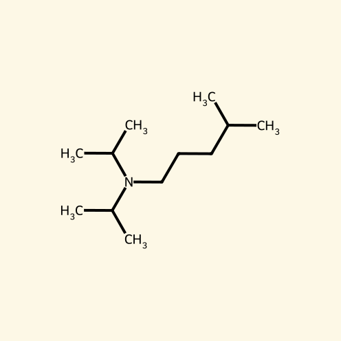 CC(C)CCCN(C(C)C)C(C)C